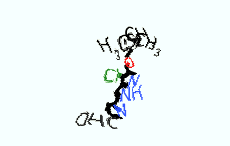 C[Si](C)(C)CCOCc1cnc2[nH]c(-c3ccc(C=O)cn3)cc2c1Cl